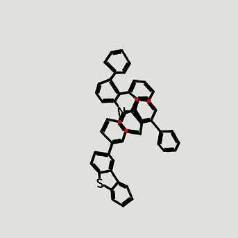 c1ccc(-c2cccc(N(c3ccc(-c4ccc5sc6ccccc6c5c4)cc3)c3cccc(-c4ccccc4)c3-c3ccccc3-c3ccccc3)c2)cc1